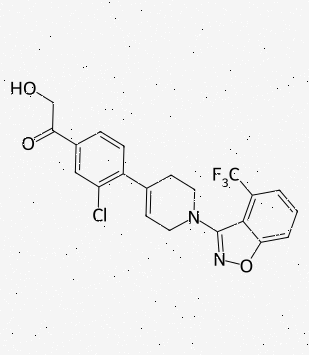 O=C(CO)c1ccc(C2=CCN(c3noc4cccc(C(F)(F)F)c34)CC2)c(Cl)c1